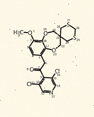 COc1ccc(CC(=O)c2c(Cl)cncc2Cl)c2c1OCC1(CO2)CSCSC1